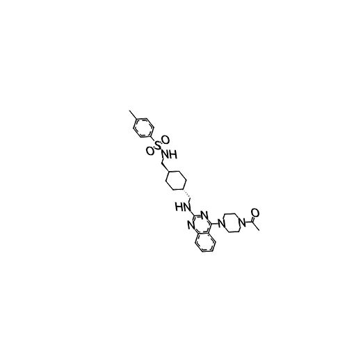 CC(=O)N1CCN(c2nc(NC[C@H]3CC[C@H](CNS(=O)(=O)c4ccc(C)cc4)CC3)nc3ccccc23)CC1